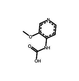 COc1cnccc1NC(=O)O